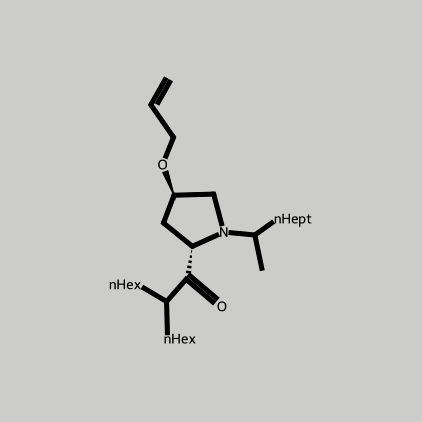 C=CCO[C@@H]1C[C@@H](C(=O)C(CCCCCC)CCCCCC)N(C(C)CCCCCCC)C1